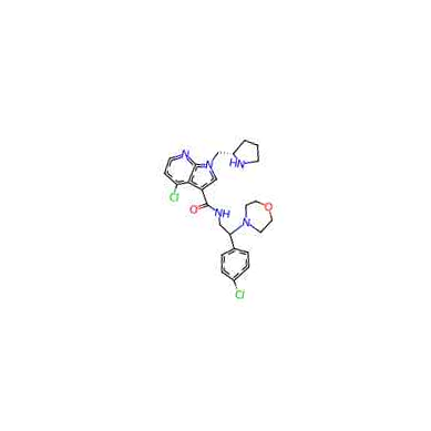 O=C(NCC(c1ccc(Cl)cc1)N1CCOCC1)c1cn(C[C@@H]2CCCN2)c2nccc(Cl)c12